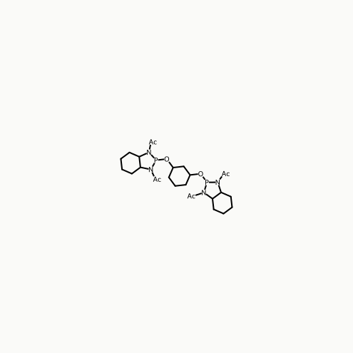 CC(=O)N1C2CCCCC2N(C(C)=O)P1OC1CCCC(OP2N(C(C)=O)C3CCCCC3N2C(C)=O)C1